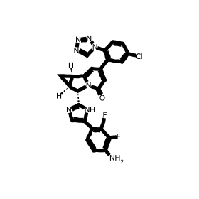 Nc1ccc(-c2cnc([C@@H]3[C@H]4C[C@H]4c4cc(-c5cc(Cl)ccc5-n5cnnn5)cc(=O)n43)[nH]2)c(F)c1F